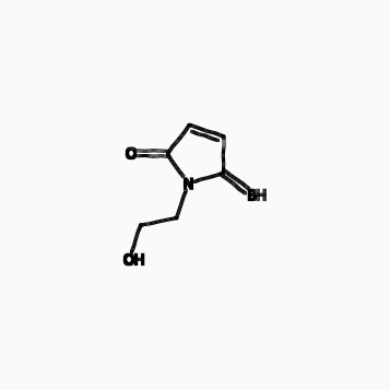 B=C1C=CC(=O)N1CCO